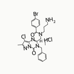 Cc1nn2c(=O)n(Cc3ccccc3)c([C@@H](C(C)C)N(CCCN)C(=O)c3ccc(Br)cc3)nc2c1Cl.Cl